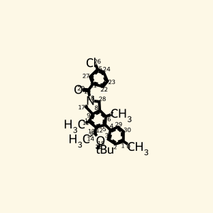 Cc1ccc(-c2c(C)c3c(c(C)c2[C@@H](C)OC(C)(C)C)CN(C(=O)c2cccc(Cl)c2)C3)cc1